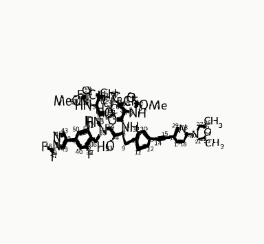 COC(=O)NC(C(=O)N[C@@H](Cc1ccc(C#Cc2ccc(N3C[C@@H](C)O[C@@H](C)C3)nc2)cc1)[C@@H](O)CN(Cc1c(F)cc(-c2cnn(C(F)F)c2)cc1F)NC(=O)[C@@H](NC(=O)OC)C(C)(C)C(F)(F)F)C(C)(C)C(F)(F)F